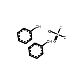 O=P(Cl)(Cl)Cl.Oc1ccccc1.Oc1ccccc1